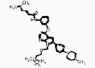 CN(C)C/C=C/C(=O)Nc1cccc(Oc2ncnc3c2cc(-c2ccc(N4CCN(C)CC4)cc2)n3COCC[Si](C)(C)C)c1